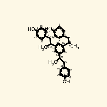 CC(Cc1ccc(O)cc1)c1cc(C(C)Cc2ccc(O)cc2)cc(C(C)Cc2ccc(O)cc2)c1